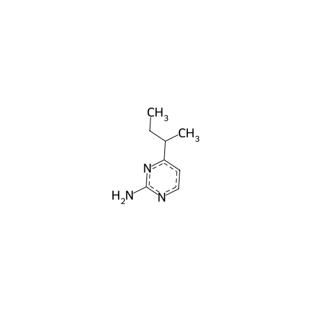 CCC(C)c1ccnc(N)n1